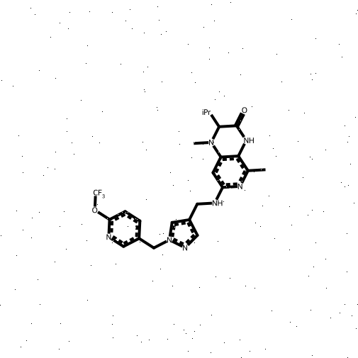 Cc1nc(NCc2cnn(Cc3ccc(OC(F)(F)F)nc3)c2)cc2c1NC(=O)C(C(C)C)N2C